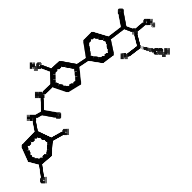 Cc1cc(-c2ccc(C(=O)N(C)[C@H](C(=O)O)C(C)C)cc2)ccc1NC(=O)Nc1ccc(Cl)cc1Cl